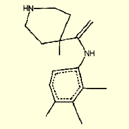 C=C(Nc1ccc(C)c(C)c1C)C1(C)CCNCC1